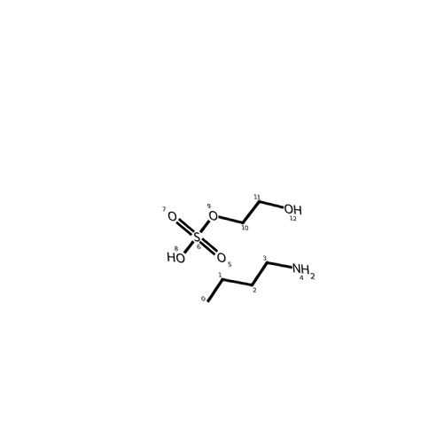 CCCCN.O=S(=O)(O)OCCO